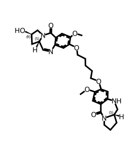 COc1cc2c(cc1OCCCCCOc1cc3c(cc1OC)C(=O)N1CCC[C@H]1CN3)N=C[C@@H]1C[C@@H](O)CN1C2=O